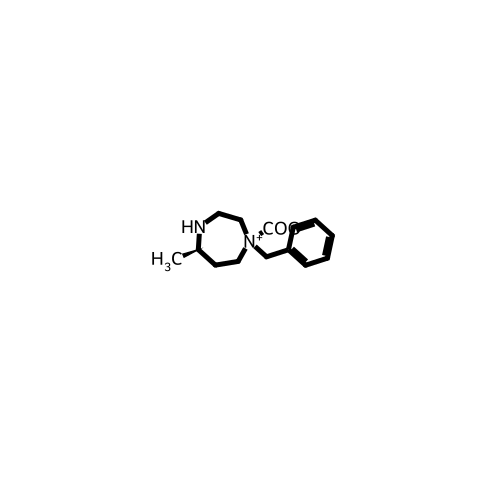 C[C@@H]1CC[N+](Cc2ccccc2)(C(=O)[O-])CCN1